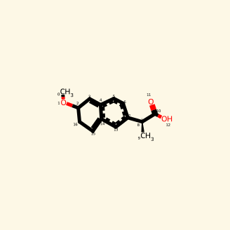 COC1C=c2ccc([C@H](C)C(=O)O)cc2=CC1